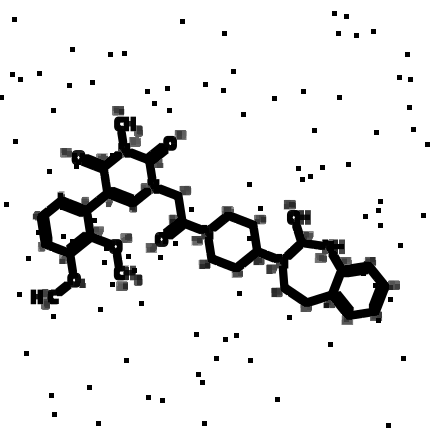 COc1cccc(-c2cn(CC(=O)N3CCC(N4CCc5ccccc5NC4O)CC3)c(=O)n(C)c2=O)c1OC